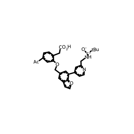 CC(=O)c1ccc(CC(=O)O)c(OCc2cc(-c3ccnc(CN[S+]([O-])C(C)(C)C)c3)c3occc3c2)c1